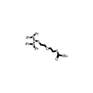 CC(C)N(C(C)C)P(SCCOCCSC(=O)C(C)(C)C)N(C(C)C)C(C)C